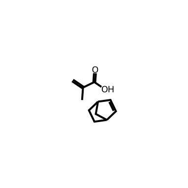 C1=CC2CCC1C2.C=C(C)C(=O)O